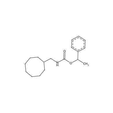 CC(OC(=O)NCC1CC[CH]CCCC1)c1ccccc1